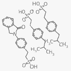 CC(C)Cc1ccc(CCS(=O)(=O)O)cc1.CC(C)Cc1ccc(CCS(=O)(=O)O)cc1.O=C1c2ccccc2CN1c1ccc(CCS(=O)(=O)O)cc1